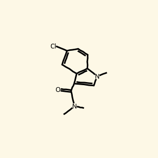 CN(C)C(=O)c1cn(C)c2ccc(Cl)cc12